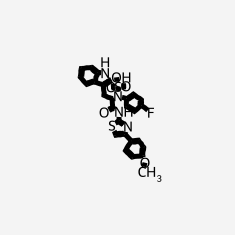 COc1ccc(-c2csc(NC(=O)C(Cc3c[nH]c4ccccc34)N(c3ccc(F)cc3)S(=O)(=O)O)n2)cc1